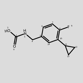 O=C(O)NCc1ccc(F)c(C2CC2)c1